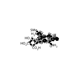 CSCC[C@H](CC(=O)[C@H](CC(C)C)NC(=O)[C@@H](CC(=O)CNC(=O)[C@@H](CC(=O)[C@H](C)NC(=O)[C@@H](CC(=O)[C@H](CCC(N)=O)NC(=O)c1ccc(NC(=O)CNC(=O)CN2CCN(CC(=O)O)CCN(CC(=O)O)CCN(CC(=O)O)CC2)cc1)Cc1c[nH]c2ccccc12)C(C)C)Cc1c[nH]cn1)C(N)=O